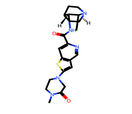 C[C@H]1[C@H](NC(=O)c2cc3sc(N4CCN(C)C(=O)C4)cc3cn2)C2CCN1CC2